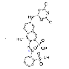 O=S(=O)(O)c1ccccc1/N=N/c1c(S(=O)(=O)O)cc2cc(Nc3nc(Cl)nc(Cl)n3)ccc2c1O